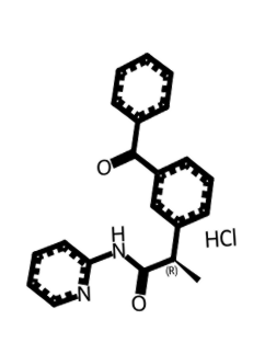 C[C@@H](C(=O)Nc1ccccn1)c1cccc(C(=O)c2ccccc2)c1.Cl